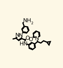 Cc1cc(C(=O)Nc2cccc(C(CCC3CC3)n3ccccc3=O)c2)n(-c2cccc(CN)c2)n1